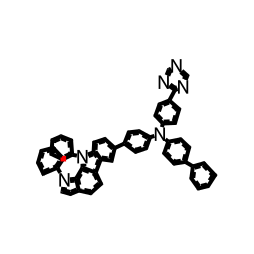 c1ccc(-c2ccc(N(c3ccc(-c4ccc5c(c4)c4ccc6ccn(-c7ccccc7)c6c4n5-c4ccccc4)cc3)c3ccc(-c4ncncn4)cc3)cc2)cc1